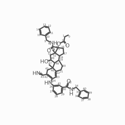 CCC(=O)O[C@]1(C(=O)NCc2ccccc2)CCC2C3CCC4=CC(Nc5cccc(C(=O)NCc6ccccc6)c5)=C(C=N)CC4(C)C3C(O)CC21C